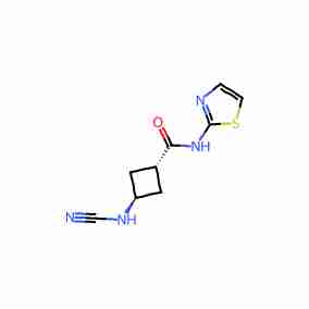 N#CN[C@H]1C[C@H](C(=O)Nc2nccs2)C1